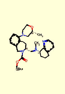 C[C@@H]1CN(c2cccc3c2C[C@H](CN(C)[C@H]2CCCc4cccnc42)N(C(=O)OC(C)(C)C)C3)CCO1